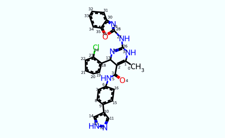 CC1=C(C(=O)Nc2ccc(-c3cn[nH]c3)cc2)C(c2ccccc2Cl)N=C(Nc2nc3ccccc3o2)N1